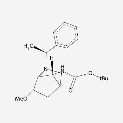 CO[C@H]1CC2CN([C@@H](C)c3ccccc3)C1[C@@H]2NC(=O)OC(C)(C)C